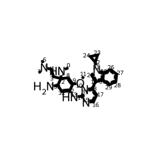 CNC1(CCN(C)C)C=C(OC)C(Nc2nccc(-c3cn(C4CC4)c4ccccc34)n2)=CC1N